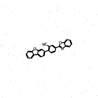 N#Cc1cc(-c2nc3ccccc3o2)ccc1-c1ccc2c(c1)oc1ccccc12